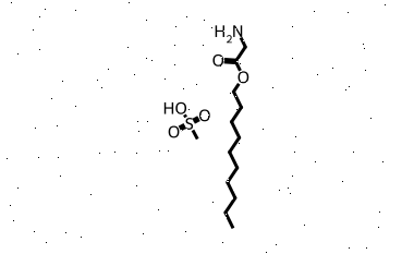 CCCCCCCCCCOC(=O)CN.CS(=O)(=O)O